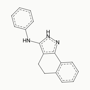 c1ccc(Nc2[nH]nc3c2CCc2ccccc2-3)cc1